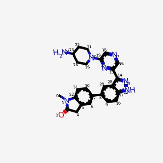 CN1C(=O)Cc2cc(-c3ccc4[nH]nc(-c5cncc(N6CCC(N)CC6)n5)c4c3)ccc21